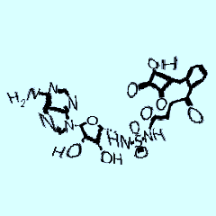 Nc1ncnc2c1ncn2[C@@H]1O[C@H](CNS(=O)(=O)NC(=O)CCC(=O)c2ccccc2-c2c(O)c(=O)c2=O)[C@@H](O)[C@H]1O